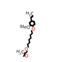 C/C=C/c1ccc(OCCCCCCCCOCC2(C)CO2)c(OC)c1